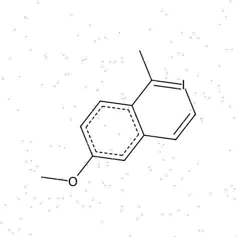 COc1ccc2c(c1)C=CI=C2C